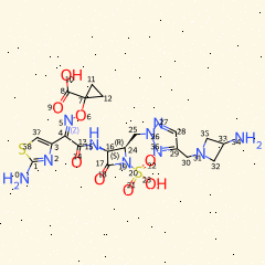 Nc1nc(/C(=N/OC2(C(=O)O)CC2)C(=O)N[C@@H]2C(=O)N(S(=O)(=O)O)[C@@H]2Cn2ncc(CN3CC(N)C3)n2)cs1